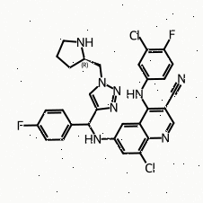 N#Cc1cnc2c(Cl)cc(NC(c3ccc(F)cc3)c3cn(C[C@H]4CCCN4)nn3)cc2c1Nc1ccc(F)c(Cl)c1